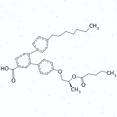 CCCCCCCc1ccc(-c2ccc(C(=O)O)cc2-c2ccc(OC[C@H](C)OC(=O)CCCC)cc2)cc1